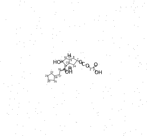 O=C(O)COCC[C@@H]1C[C@@H]2C[C@@H](O)[C@H](C(O)=CCC3CCCC3)[C@@H]2C1